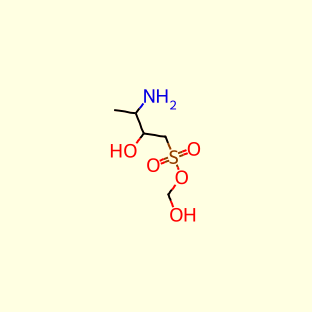 CC(N)C(O)CS(=O)(=O)OCO